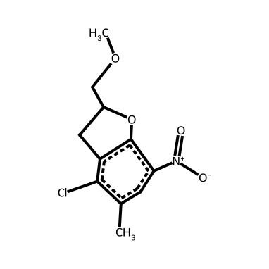 COCC1Cc2c(Cl)c(C)cc([N+](=O)[O-])c2O1